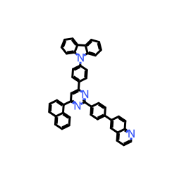 c1cnc2ccc(-c3ccc(-c4nc(-c5ccc(-n6c7ccccc7c7ccccc76)cc5)cc(-c5cccc6ccccc56)n4)cc3)cc2c1